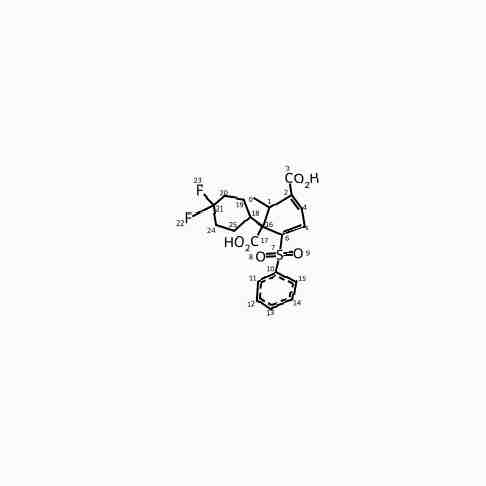 CC1C(C(=O)O)=CC=C(S(=O)(=O)c2ccccc2)C1(C(=O)O)C1CCC(F)(F)CC1